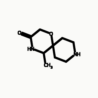 CC1NC(=O)COC12CCNCC2